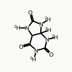 [2H]N1C(=O)C2N([2H])C(=O)N([2H])C2([2H])N([2H])C1=O